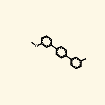 COc1cccc(-c2ccc(-c3cccc(C)c3)cc2)c1